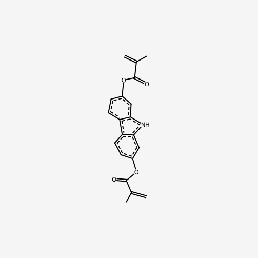 C=C(C)C(=O)Oc1ccc2c(c1)[nH]c1cc(OC(=O)C(=C)C)ccc12